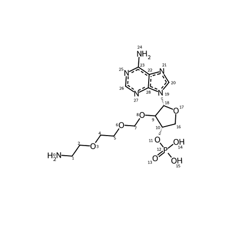 NCCOCCOCOC1[C@@H](OP(=O)(O)O)CO[C@H]1n1cnc2c(N)ncnc21